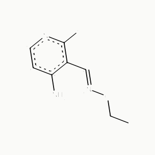 CCO/N=C/c1c(N)ccnc1Cl